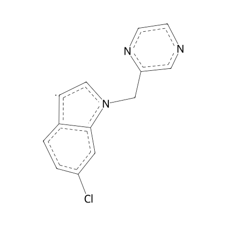 Clc1ccc2[c]cn(Cc3cnccn3)c2c1